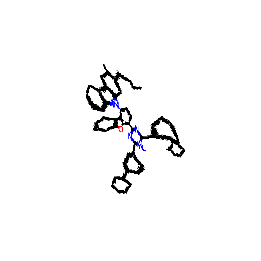 C=C/C=C\c1cc2c(cc1C)c1ccccc1n2-c1ccc(-c2nc(-c3ccc(-c4ccccc4)cc3)nc(-c3cccc4ccccc34)n2)c2oc3ccccc3c12